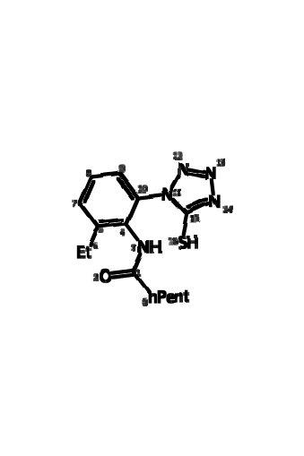 CCCCCC(=O)Nc1c(CC)cccc1-n1nnnc1S